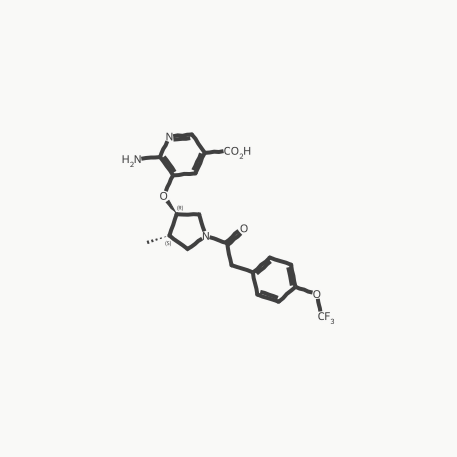 C[C@H]1CN(C(=O)Cc2ccc(OC(F)(F)F)cc2)C[C@@H]1Oc1cc(C(=O)O)cnc1N